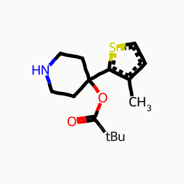 Cc1ccsc1C1(OC(=O)C(C)(C)C)CCNCC1